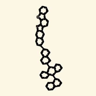 c1ccc2c(-c3c4ccccc4c(-c4ccc5cc(-c6ccc7cc8sc9c(ccc%10c%11ccccc%11oc%109)c8cc7c6)ccc5c4)c4ccccc34)cccc2c1